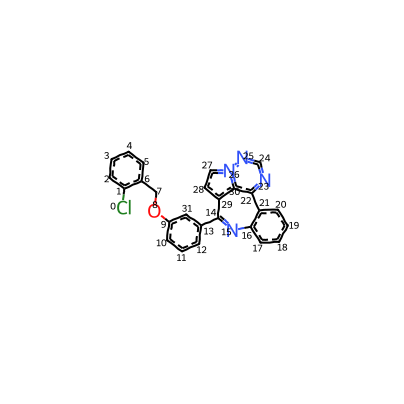 Clc1ccccc1COc1cccc(C2=Nc3ccccc3-c3ncnn4ccc2c34)c1